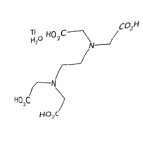 O.O=C(O)CN(CCN(CC(=O)O)CC(=O)O)CC(=O)O.[Ti]